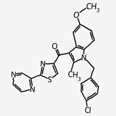 COc1ccc2c(c1)c(C(=O)c1csc(-c3cnccn3)n1)c(C)n2Cc1ccc(Cl)cc1